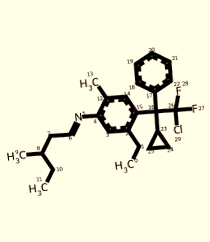 CCc1cc(/N=C/CC(C)CC)c(C)cc1C(c1ccccc1)(C1CC1)C(F)(F)Cl